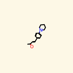 CC(=O)C=Cc1ccc(N2CCCCC2)cc1